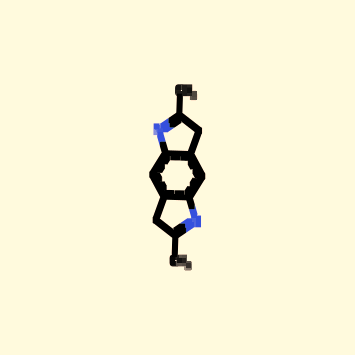 CC1=Nc2cc3c(cc2C1)N=C(C)C3